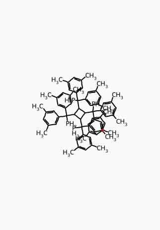 Cc1cc(C)cc(C(P)(c2cc(C)cc(C)c2)C2C(C(P)(c3cc(C)cc(C)c3)c3cc(C)cc(C)c3)C(C(P)(c3cc(C)cc(C)c3)c3cc(C)cc(C)c3)C2C(P)(c2cc(C)cc(C)c2)c2cc(C)cc(C)c2)c1